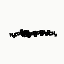 C=CC(=O)OCCOC(=O)Oc1ccc(C(=O)Oc2ccc(C(=O)O[C@@H]3CO[C@@H]4[C@H]3OC[C@H]4OC(=O)c3ccc(C)cc3)cc2)cc1